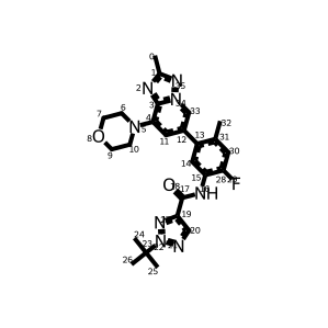 Cc1nc2c(N3CCOCC3)cc(-c3cc(NC(=O)c4cnn(C(C)(C)C)n4)c(F)cc3C)cn2n1